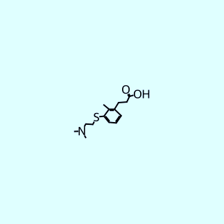 Cc1c(CCC(=O)O)cccc1SCCN(C)C